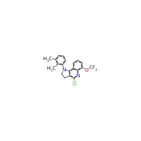 Cc1cccc(N2CCc3c(Cl)nc4c(OC(F)(F)F)cccc4c32)c1C